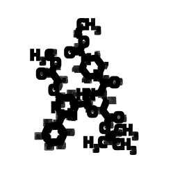 CCOC(=O)N1CCN(C(=O)[C@H](CCC(=O)OC(C)(C)C)NC(=O)c2cc(OCC(=O)OC)nc(-c3ccccc3)n2)CC1